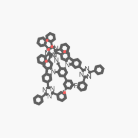 N#Cc1c(-n2c3cc(-c4nc(-c5ccccc5)nc(-c5ccccc5)n4)ccc3c3ccc(-c4nc(-c5ccccc5)nc(-c5ccccc5)n4)cc32)cc(-c2cc(F)cc(F)c2)cc1-n1c2cc(-c3nc(-c4ccccc4)nc(-c4ccccc4)n3)ccc2c2ccc(-c3nc(-c4ccccc4)nc(-c4ccccc4)n3)cc21